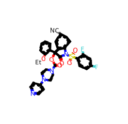 CCOc1ccccc1C1(OC(=O)N2CCN(c3ccncc3)CC2)C(=O)N(S(=O)(=O)c2ccc(F)cc2F)c2ccc(C#N)cc21